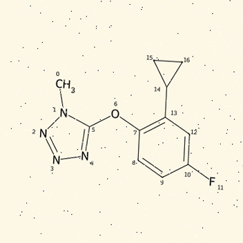 Cn1nnnc1Oc1ccc(F)cc1C1CC1